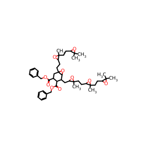 CC1(C)OC1CCC1(C)OC1CCC1(C)OC1CC1C(C(=O)OCc2ccccc2)C(C(=O)OCc2ccccc2)CC2(CCC3OC3(C)CCC3OC3(C)C)OC12